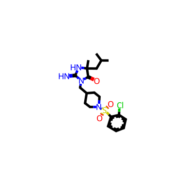 CC(C)CC1(C)NC(=N)N(CC2CCN(S(=O)(=O)c3ccccc3Cl)CC2)C1=O